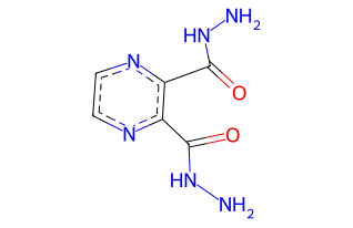 NNC(=O)c1nccnc1C(=O)NN